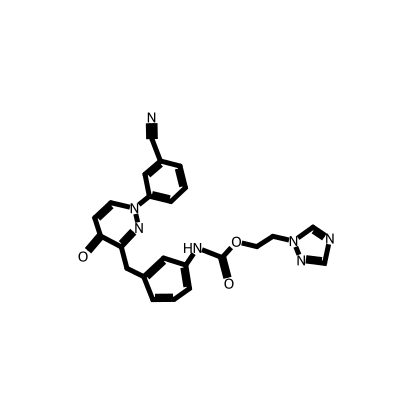 N#Cc1cccc(-n2ccc(=O)c(Cc3cccc(NC(=O)OCCn4cncn4)c3)n2)c1